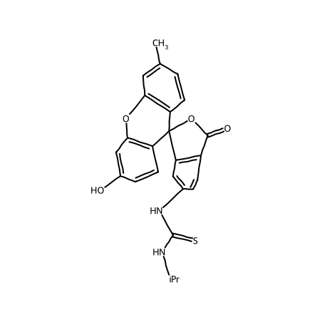 Cc1ccc2c(c1)Oc1cc(O)ccc1C21OC(=O)c2ccc(NC(=S)NC(C)C)cc21